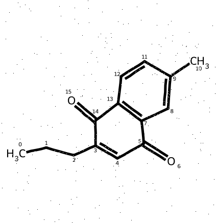 CCCC1=CC(=O)c2cc(C)ccc2C1=O